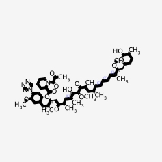 COC1CC(C[C@@H](C)[C@H](CC(=O)C(C)/C=C(\C)[C@@H](O)C(OC)C(=O)C(C)C[C@H](C)/C=C/C=C/C=C(\C)[C@H](C[C@@H]2CCC(C)C(O)O2)OC)OC(=O)C2CCCCN2C(=O)C(C)=O)CCC1n1cnnn1